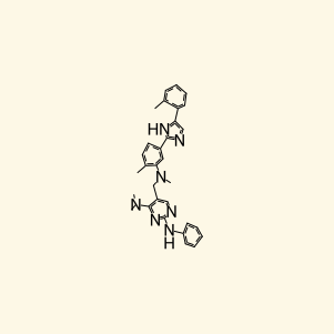 Cc1ccccc1-c1cnc(-c2ccc(C)c(N(C)Cc3cnc(Nc4ccccc4)nc3N(C)C)c2)[nH]1